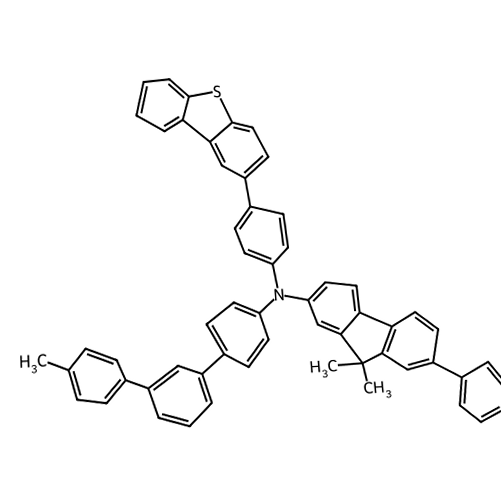 Cc1ccc(-c2cccc(-c3ccc(N(c4ccc(-c5ccc6sc7ccccc7c6c5)cc4)c4ccc5c(c4)C(C)(C)c4cc(-c6ccccc6)ccc4-5)cc3)c2)cc1